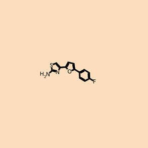 Nc1nc(-c2ccc(-c3ccc(F)cc3)o2)cs1